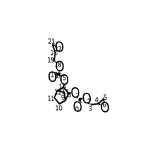 O=C(OCC1CO1)OC1C2CCC(C2)C1OC(=O)OCC1CO1